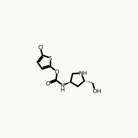 O=C(N[C@H]1CN[C@H](CO)C1)Oc1ccc(Cl)s1